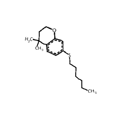 CCCCCCSc1ccc2c(c1)OCCC2(C)C